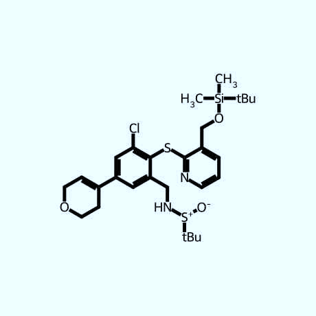 CC(C)(C)[S+]([O-])NCc1cc(C2=CCOCC2)cc(Cl)c1Sc1ncccc1CO[Si](C)(C)C(C)(C)C